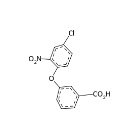 O=C(O)c1cccc(Oc2ccc(Cl)cc2[N+](=O)[O-])c1